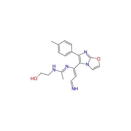 C/C(=N\C(=C/C=N)c1c(-c2ccc(C)cc2)nc2occn12)NCCO